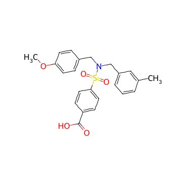 COc1ccc(CN(Cc2cccc(C)c2)S(=O)(=O)c2ccc(C(=O)O)cc2)cc1